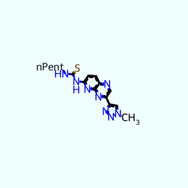 CCCCCNC(=S)Nc1ccc2ncc(-c3cn(C)nn3)nc2n1